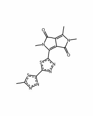 CC1=C2C(=O)N(C)C(c3nnc(-c4nnc(C)s4)s3)=C2C(=O)N1C